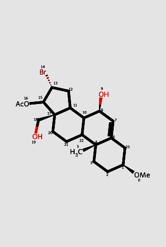 CO[C@H]1CC[C@@]2(C)C(=C[C@H](O)C3C4C[C@@H](Br)C(OC(C)=O)[C@@]4(CO)CCC32)C1